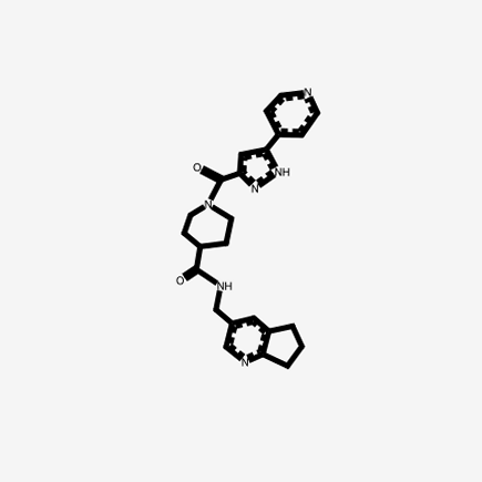 O=C(NCc1cnc2c(c1)CCC2)C1CCN(C(=O)c2cc(-c3ccncc3)[nH]n2)CC1